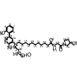 Nc1nnc(-c2ccccc2O)cc1N(CCCCCCCCCCC(=O)NCC(=O)N1CCC(O)C1)CCNC=O